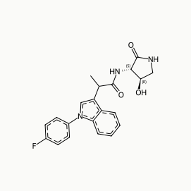 CC(C(=O)N[C@@H]1C(=O)NC[C@H]1O)c1cn(-c2ccc(F)cc2)c2ccccc12